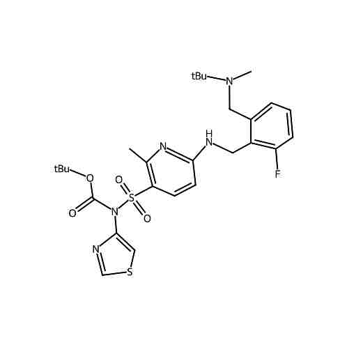 Cc1nc(NCc2c(F)cccc2CN(C)C(C)(C)C)ccc1S(=O)(=O)N(C(=O)OC(C)(C)C)c1cscn1